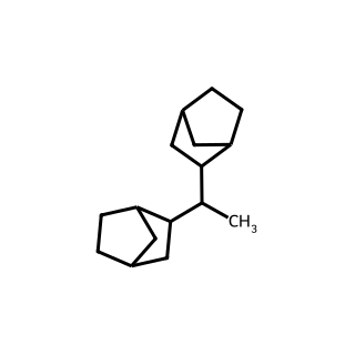 CC(C1CC2CCC1C2)C1CC2CCC1C2